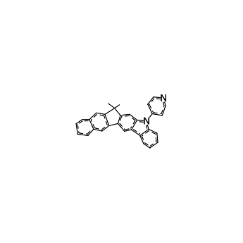 CC1(C)c2cc3ccccc3cc2-c2cc3c4ccccc4n(-c4ccncc4)c3cc21